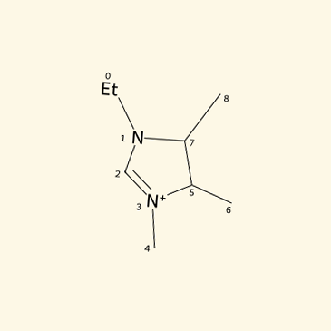 CCN1C=[N+](C)C(C)C1C